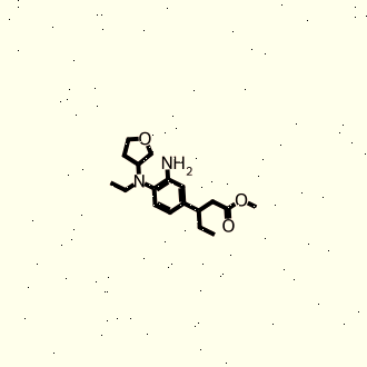 CCC(CC(=O)OC)c1ccc(N(CC)C2CCOC2)c(N)c1